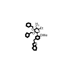 CC[C@H]1S[C@@H](c2cc(Cc3cc4ccccc4s3)ccc2OC)[C@H](OCc2ccccc2)[C@@H](OCc2ccccc2)[C@@H]1C